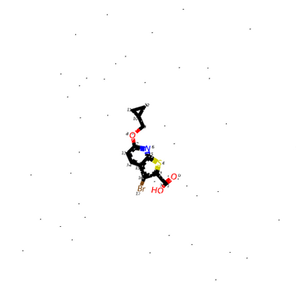 O=C(O)c1sc2nc(OCC3CC3)ccc2c1Br